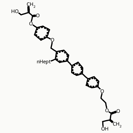 C=C(CO)C(=O)OCCOc1ccc(-c2ccc(-c3ccc(COc4ccc(OC(=O)C(=C)CO)cc4)c(CCCCCCC)c3)cc2)cc1